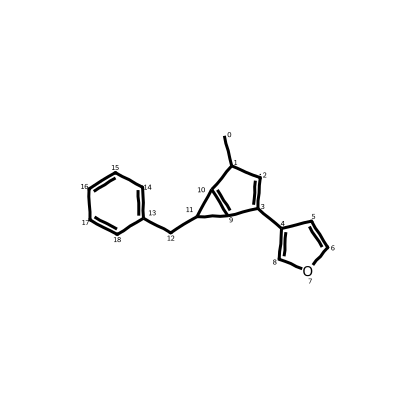 CC1[C]=C(c2ccoc2)C2=C1C2Cc1ccccc1